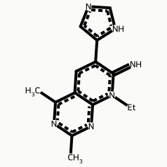 CCn1c(=N)c(-c2cnc[nH]2)cc2c(C)nc(C)nc21